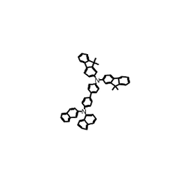 CC1(C)c2ccccc2-c2ccc(N(c3ccc(-c4ccc(N(c5ccc6ccccc6c5)c5cccc6ccccc56)cc4)cc3)c3ccc4c(c3)C(C)(C)c3ccccc3-4)cc21